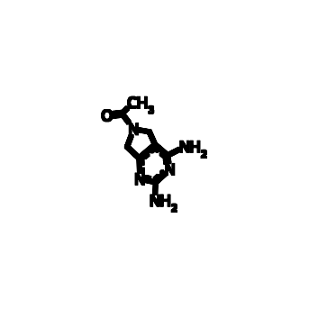 CC(=O)N1Cc2nc(N)nc(N)c2C1